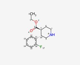 CCOC(=O)[C@H]1CCNC[C@@H]1c1ccccc1F